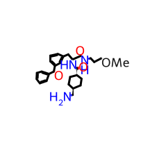 COCCCNC(=O)C(Cc1cccc(C(=O)c2ccccc2)c1)NC(=O)[C@H]1CC[C@H](CN)CC1